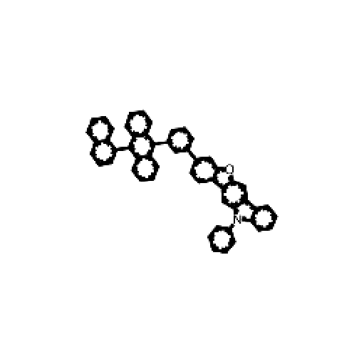 c1ccc(-n2c3ccccc3c3cc4oc5cc(-c6cccc(-c7c8ccccc8c(-c8cccc9ccccc89)c8ccccc78)c6)ccc5c4cc32)cc1